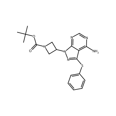 CC(C)(C)OC(=O)N1CC(n2nc(Sc3ccccc3)c3c(N)ncnc32)C1